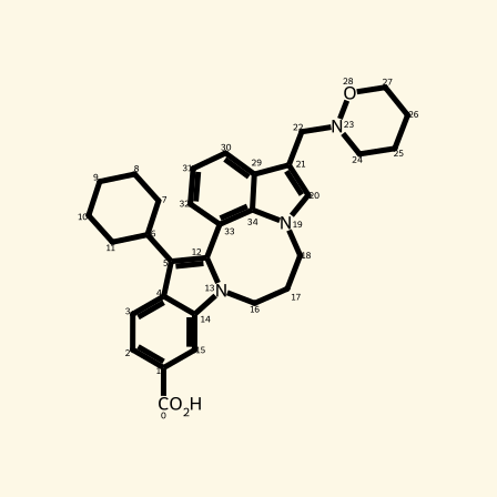 O=C(O)c1ccc2c(C3CCCCC3)c3n(c2c1)CCCn1cc(CN2CCCCO2)c2cccc-3c21